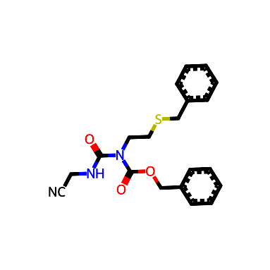 N#CCNC(=O)N(CCSCc1ccccc1)C(=O)OCc1ccccc1